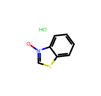 Cl.[O-][n+]1csc2ccccc21